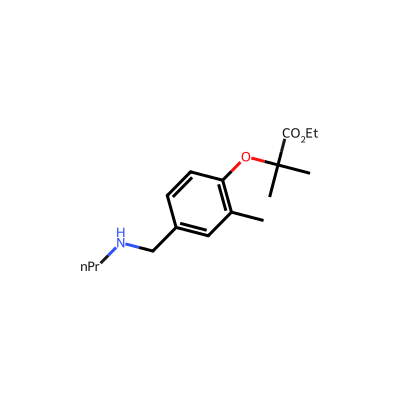 CCCNCc1ccc(OC(C)(C)C(=O)OCC)c(C)c1